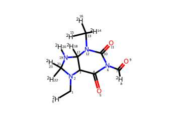 [2H]CN1C2C(=O)N(C([2H])=O)C(=O)N(C([2H])([2H])[2H])C2([2H])N([2H])C1([2H])[2H]